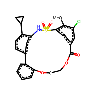 COc1c(Cl)cc2cc1S(=O)(=O)Nc1cc(ccc1C1CC1)-c1ccccc1OCCOC2=O